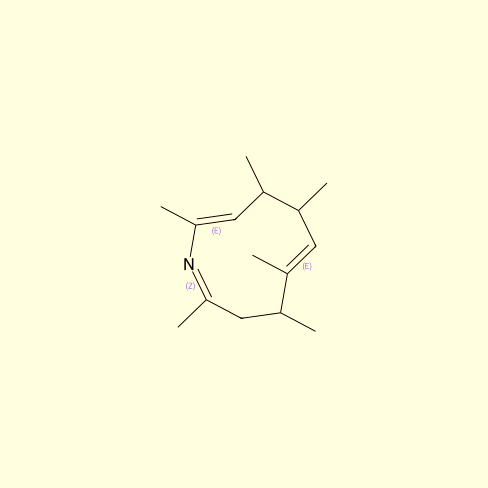 C/C1=N/C(C)=C/C(C)C(C)/C=C(\C)C(C)C1